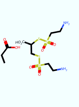 CCC(=O)O.NCCS(=O)(=O)SCC(SS(=O)(=O)CCN)C(=O)O